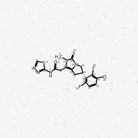 Cn1c(CC(=O)Nc2nncs2)c2n(c1=S)C[C@H](c1c(F)ccc(Cl)c1F)C2